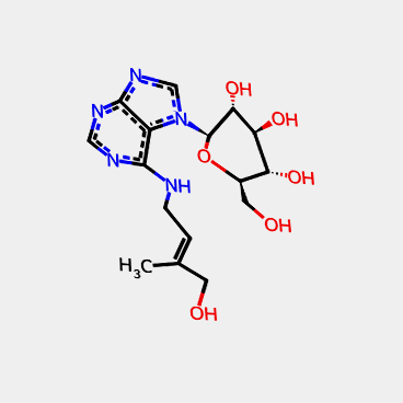 C/C(=C\CNc1ncnc2ncn([C@@H]3O[C@H](CO)[C@@H](O)[C@H](O)[C@H]3O)c12)CO